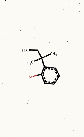 CCC(C)(C)c1ccccc1Br